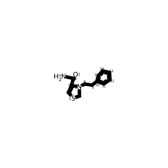 NC(=O)C1=CSCN1CCc1ccccc1